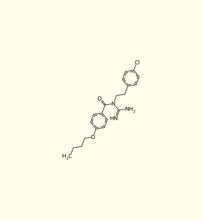 CCCCOc1ccc(C(=O)N(CCc2ccc(Cl)cc2)C(=N)N)cc1